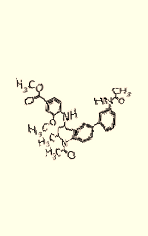 COC(=O)c1ccc(NC2CC(C)N(C(C)=O)c3ccc(-c4cccc(NC(C)=O)c4)cc32)c(OC)c1